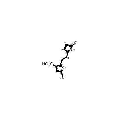 O=C(O)c1cc(Cl)sc1CCc1ccc(Cl)s1